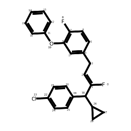 F/C(=C\Cc1ccc(F)c(Oc2ccccc2)c1)C(c1ccc(Cl)cc1)C1CC1